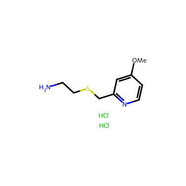 COc1ccnc(CSCCN)c1.Cl.Cl